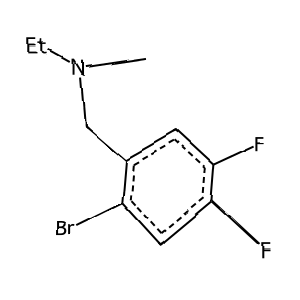 CCN(C)Cc1cc(F)c(F)cc1Br